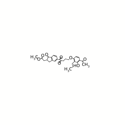 CCCc1c(OCCCS(=O)(=O)c2ccc3c(c2)CC(CC(=O)OC)C3=O)ccc(C(C)=O)c1O